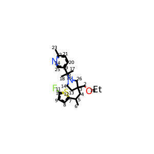 CCOCC1(CC(C)c2ccc(F)s2)CCN(C(C)(C)c2ccc(C)nc2)C1